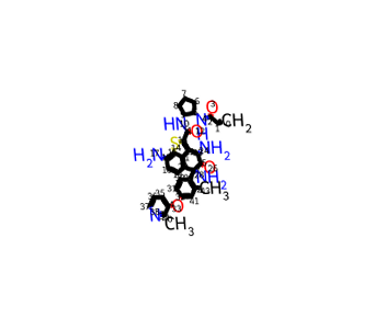 C=CC(=O)N[C@H]1CCC[C@H]1NC(=O)c1sc2c(N)ccc3c2c1C(N)C(=O)C3(N)c1ccc(Oc2cccnc2C)cc1C